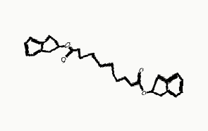 O=C(CCCCCCCCC(=O)OC1Cc2ccccc2C1)OC1Cc2ccccc2C1